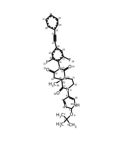 CC(C)(C)OC1N=CC(N2CCN3C(=O)N(c4c(F)cc(C#Cc5ccccc5)cc4F)C(=O)C[C@@]3(C)C2=O)=CN1